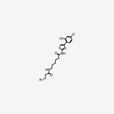 CC(=O)SCC(=O)NCCCCCC(=O)Nc1nc(-c2ccc(Cl)cc2Cl)cs1